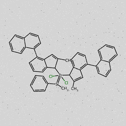 CC1=Cc2c(-c3cccc4ccccc34)cccc2[CH]1[Zr]([Cl])([Cl])([CH]1C(C)=Cc2c(-c3cccc4ccccc34)cccc21)=[Si](C)c1ccccc1